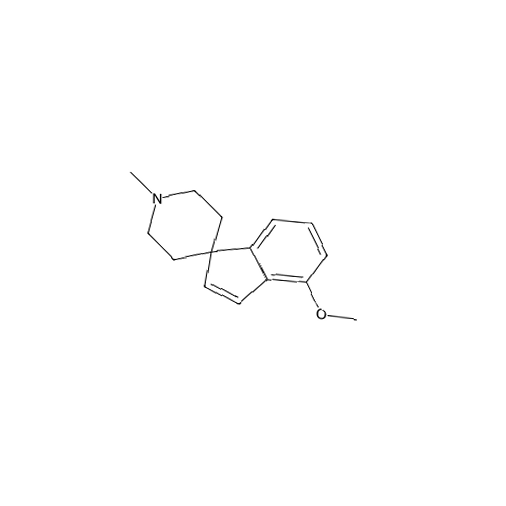 COc1cccc2c1C=CC21CCN(C)CC1